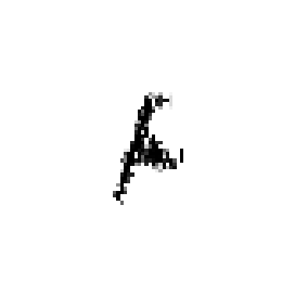 CCCCCCCCCCCCC(O)COCCOCCO.N.N.O=S(=O)(O)O